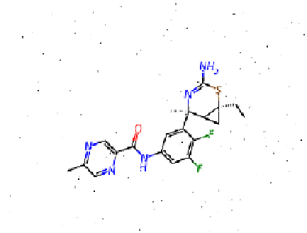 CC[C@]12CC1[C@@](C)(c1cc(NC(=O)c3cnc(C)cn3)cc(F)c1F)N=C(N)S2